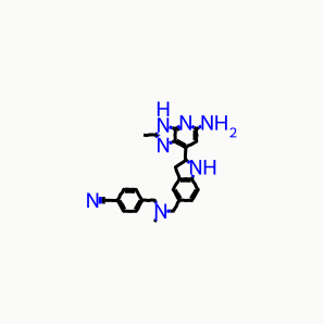 Cc1nc2c(C3Cc4cc(CN(C)Cc5ccc(C#N)cc5)ccc4N3)cc(N)nc2[nH]1